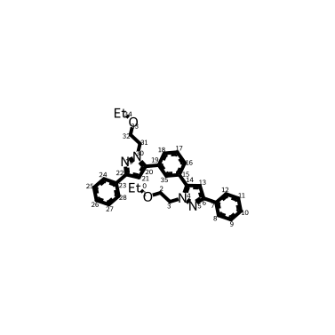 CCOCCn1nc(-c2ccccc2)cc1-c1cccc(-c2cc(-c3ccccc3)nn2CCOCC)c1